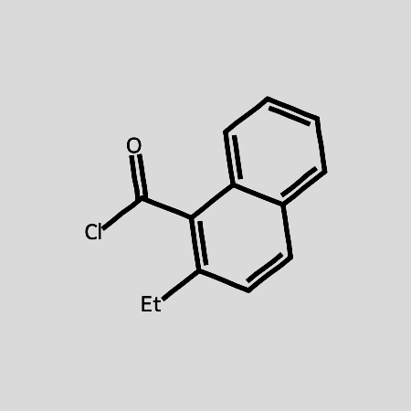 CCc1ccc2ccccc2c1C(=O)Cl